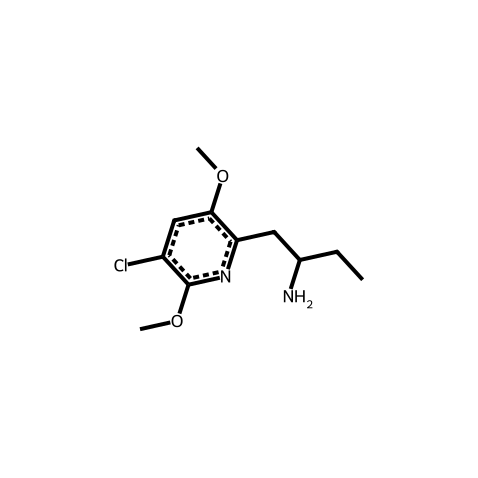 CCC(N)Cc1nc(OC)c(Cl)cc1OC